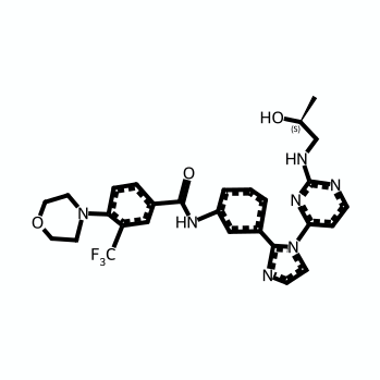 C[C@H](O)CNc1nccc(-n2ccnc2-c2cccc(NC(=O)c3ccc(N4CCOCC4)c(C(F)(F)F)c3)c2)n1